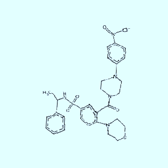 CC(NS(=O)(=O)c1ccc(N2CCOCC2)c(C(=O)N2CCN(c3ccc([N+](=O)[O-])cc3)CC2)c1)c1ccccc1